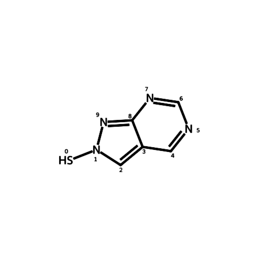 Sn1cc2cncnc2n1